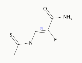 CC(=S)[N]/C=C(\F)C(N)=O